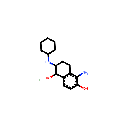 Cl.Nc1c(O)ccc2c1CCC(NC1CCCCC1)C2O